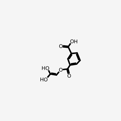 O=C(O)c1cccc(C(=O)OC=C(O)O)c1